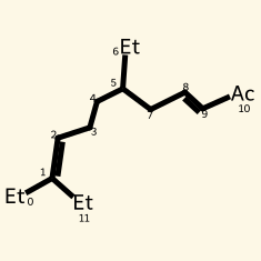 CCC(=CCCC(CC)CC=CC(C)=O)CC